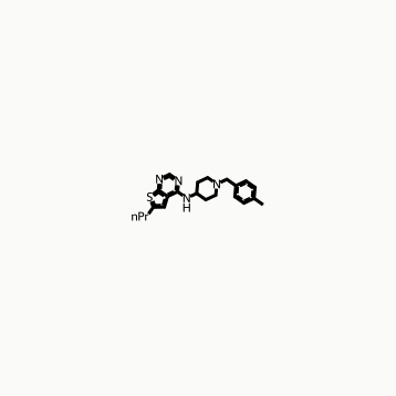 CCCc1cc2c(NC3CCN(Cc4ccc(C)cc4)CC3)ncnc2s1